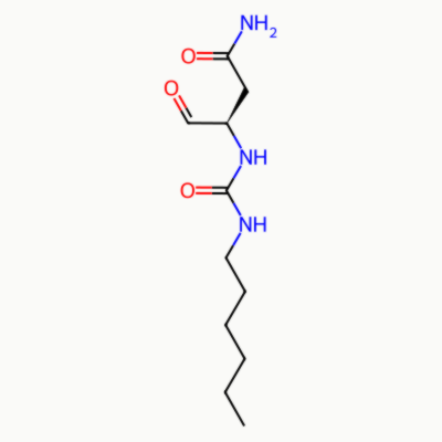 CCCCCCNC(=O)N[C@@H](C=O)CC(N)=O